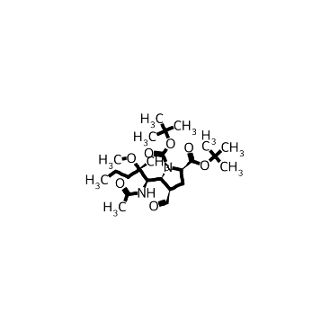 CCC[C@](C)(OC)[C@H](NC(C)=O)[C@H]1[C@H](C=O)C[C@H](C(=O)OC(C)(C)C)N1C(=O)OC(C)(C)C